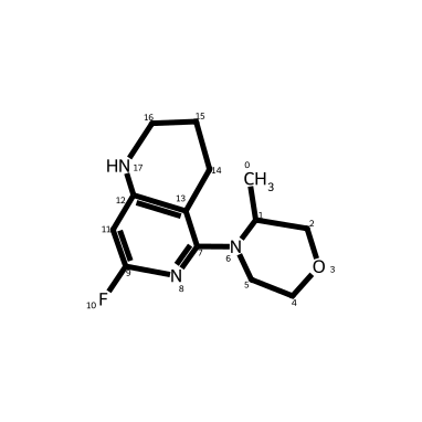 CC1COCCN1c1nc(F)cc2c1CCCN2